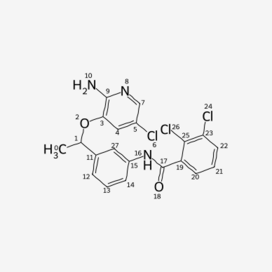 CC(Oc1cc(Cl)cnc1N)c1cccc(NC(=O)c2cccc(Cl)c2Cl)c1